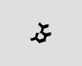 C=C(C)OC(=C)/C=C\N(C)C